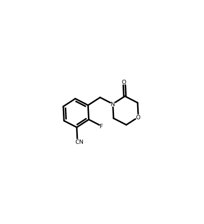 N#Cc1cccc(CN2CCOCC2=O)c1F